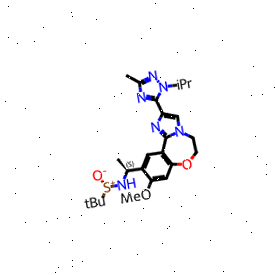 COc1cc2c(cc1[C@H](C)N[S+]([O-])C(C)(C)C)-c1nc(-c3nc(C)nn3C(C)C)cn1CCO2